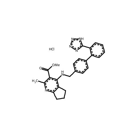 COC(=O)c1c(C)nc2c(c1NCc1ccc(-c3ccccc3-c3nnn[nH]3)cc1)CCC2.Cl